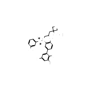 O=C(O)C1(CC2CN(S(=O)(=O)c3cccc(C(F)(F)F)c3)c3cc(-c4cc(F)cc(F)c4Cl)ccc3O2)COC1